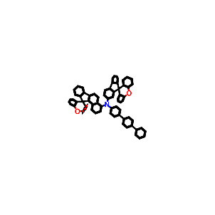 c1ccc(-c2ccc(-c3ccc(N(c4ccc5c(c4)C4(c6ccccc6Oc6ccccc64)c4ccccc4-5)c4cccc5c6c(ccc45)-c4ccccc4C64c5ccccc5Oc5ccccc54)cc3)cc2)cc1